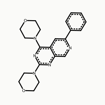 c1ccc(-c2cc3c(N4CCOCC4)nc(N4CCOCC4)nc3cn2)cc1